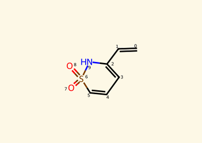 C=CC1=CC=CS(=O)(=O)N1